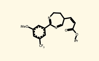 COc1cc(C2=NCCC(/C=C\C(=O)OC(C)C)C=N2)cc(C(F)(F)F)c1